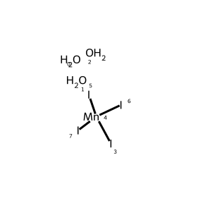 O.O.O.[I][Mn]([I])([I])[I]